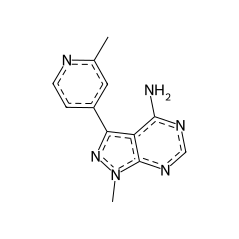 Cc1cc(-c2nn(C)c3ncnc(N)c23)ccn1